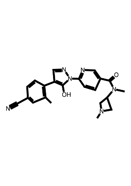 Cc1cc(C#N)ccc1-c1cnn(-c2ccc(C(=O)N(C)C3CN(C)C3)cn2)c1O